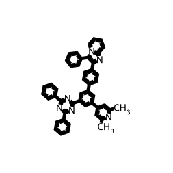 Cc1cc(-c2cc(-c3ccc(-c4nc5ccccn5c4-c4ccccc4)cc3)cc(-c3nc(-c4ccccc4)nc(-c4ccccc4)n3)c2)cc(C)n1